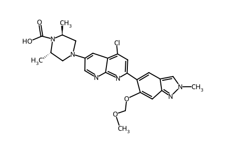 COCOc1cc2nn(C)cc2cc1-c1cc(Cl)c2cc(N3C[C@H](C)N(C(=O)O)[C@@H](C)C3)cnc2n1